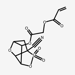 C=CC(=O)OCC(=O)OC1C2CC3(C#N)C(O2)C1OS3(=O)=O